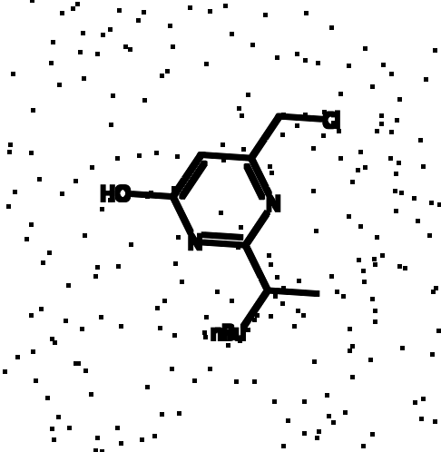 CCCCC(C)c1nc(O)cc(CCl)n1